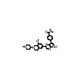 COc1cc(-c2cnc3[nH]cc(-c4ccc(C(=O)N(C)C)cc4)c3n2)cc2c1CN(C1CCN(C)CC1)CC2